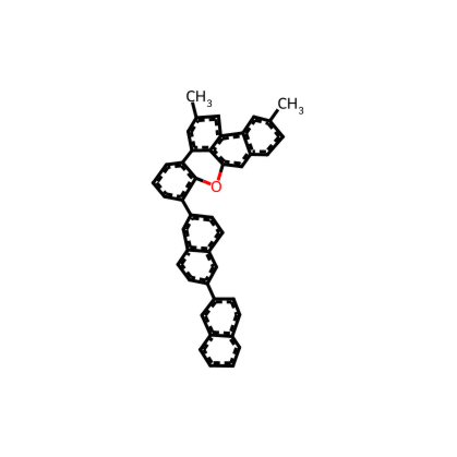 Cc1ccc2cc3c4c(cc(C)cc4c2c1)-c1cccc(-c2ccc4cc(-c5ccc6ccccc6c5)ccc4c2)c1O3